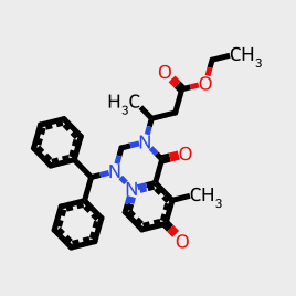 CCOC(=O)CC(C)N1CN(C(c2ccccc2)c2ccccc2)n2ccc(=O)c(C)c2C1=O